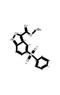 CCCCOC(=O)c1onc2ccc(S(=O)(=O)c3ccccc3)cc12